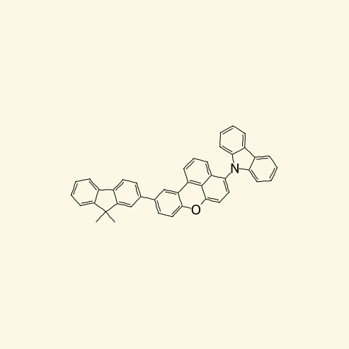 CC1(C)c2ccccc2-c2ccc(-c3ccc4c(c3)-c3cccc5c(-n6c7ccccc7c7ccccc76)ccc(c35)O4)cc21